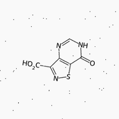 O=C(O)c1nsc2c(=O)[nH]cnc12